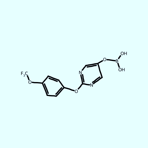 OB(O)Oc1cnc(Oc2ccc(OC(F)(F)F)cc2)nc1